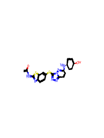 CC(=O)Nc1nc2ccc(Sc3nnc4ccc(N[C@H]5CC[C@H](O)CC5)nn34)cc2s1